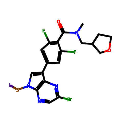 CN(CC1CCOC1)C(=O)c1c(F)cc(-c2cn(SI)c3ncc(Br)nc23)cc1F